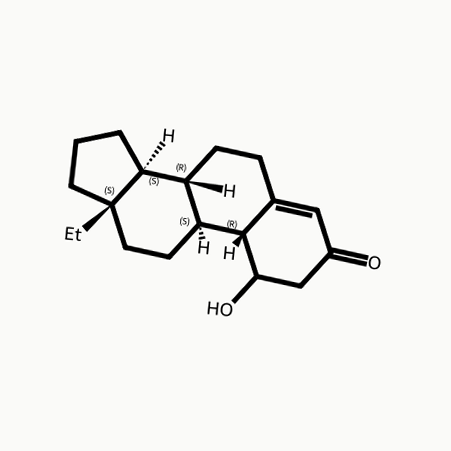 CC[C@@]12CCC[C@H]1[C@@H]1CCC3=CC(=O)CC(O)[C@@H]3[C@H]1CC2